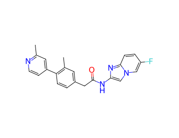 Cc1cc(-c2ccc(CC(=O)Nc3cn4cc(F)ccc4n3)cc2C)ccn1